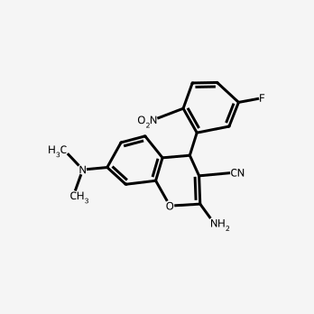 CN(C)c1ccc2c(c1)OC(N)=C(C#N)C2c1cc(F)ccc1[N+](=O)[O-]